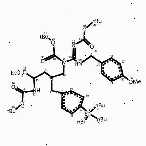 CCC[CH2][Sn]([CH2]CCC)([CH2]CCC)[c]1ccc(CC(CC(NC(=O)OC(C)(C)C)C(=O)OCC)CN(C(=O)OC(C)(C)C)/C(=N/C(=O)OC(C)(C)C)NCc2ccc(OC)cc2)cc1